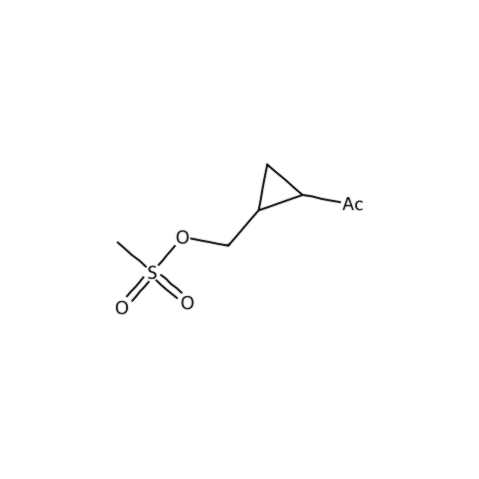 CC(=O)C1CC1COS(C)(=O)=O